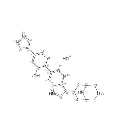 Cl.Oc1cc(-c2cn[nH]c2)ccc1-c1cc2[nH]cc(C3CC4COCC(C3)N4)c2nn1